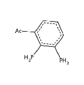 CC(=O)c1cccc(P)c1P